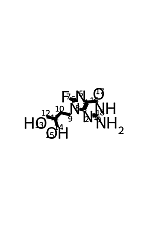 Nc1nc2c(nc(F)n2CCC(CO)CO)c(=O)[nH]1